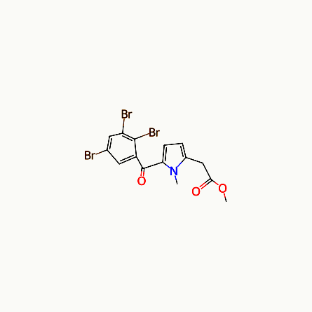 COC(=O)Cc1ccc(C(=O)c2cc(Br)cc(Br)c2Br)n1C